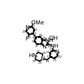 COc1cc(-c2ccc3nc(Nc4cc(CN5CCNCC5)ccn4)[nH]c3c2)c(F)cn1.Cl